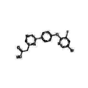 O=C(O)Cc1cncc(-c2ccc(Oc3ncc(Br)cc3F)cc2)n1